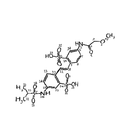 COCC(=O)Nc1ccc(C=Cc2ccc(NS(=O)(=O)C(C)C)cc2S(=O)(=O)O)c(S(=O)(=O)O)c1